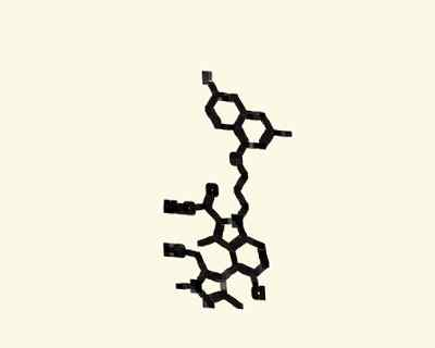 COC(=O)c1c(C)c2c(-c3c(C)nn(C)c3CO)c(Cl)ccc2n1CCCOc1cc(C)cc2cc(F)ccc12